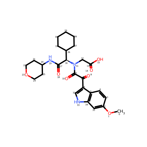 COc1ccc2c(C(=O)C(=O)N(CC(=O)O)[C@@H](C(=O)NC3CCOCC3)C3CCCCC3)c[nH]c2c1